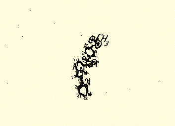 CS(=O)(=O)c1ccc(S(=O)(=O)Nc2ccnc3cc(-c4cccnc4)nn23)cc1